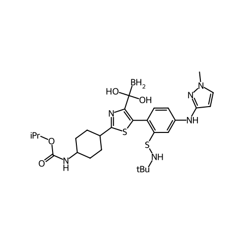 BC(O)(O)c1nc(C2CCC(NC(=O)OC(C)C)CC2)sc1-c1ccc(Nc2ccn(C)n2)cc1SNC(C)(C)C